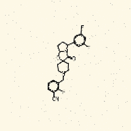 N#Cc1cccc(CN2CCC3(CC2)OC2CCC(c4cc(F)cc(F)c4)N2C3=O)c1F